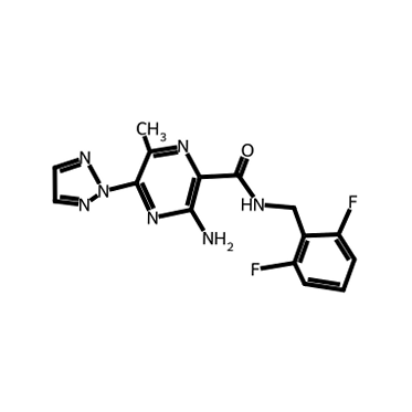 Cc1nc(C(=O)NCc2c(F)cccc2F)c(N)nc1-n1nccn1